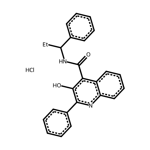 CCC(NC(=O)c1c(O)c(-c2ccccc2)nc2ccccc12)c1ccccc1.Cl